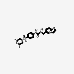 C[C@@H]1CN(S(=O)(=O)c2ccc(NC(=O)NCc3ccc4nccn4c3)cc2)C[C@H](C)O1